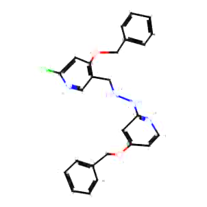 Clc1cc(OCc2ccccc2)c(CNNc2cc(OCc3ccccc3)ccn2)cn1